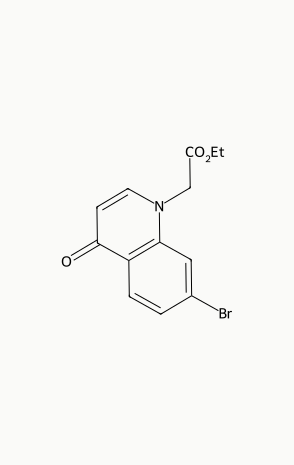 CCOC(=O)Cn1ccc(=O)c2ccc(Br)cc21